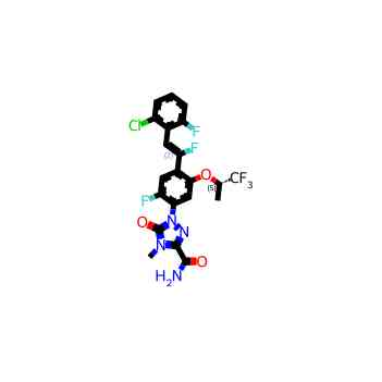 C[C@H](Oc1cc(-n2nc(C(N)=O)n(C)c2=O)c(F)cc1/C(F)=C/c1c(F)cccc1Cl)C(F)(F)F